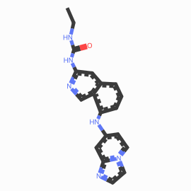 CCNC(=O)Nc1cc2cccc(Nc3ccn4ccnc4c3)c2cn1